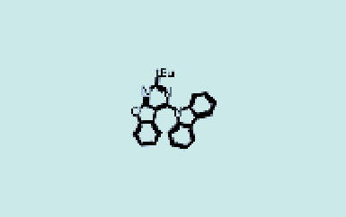 CC(C)(C)c1nc(-n2c3ccccc3c3ccccc32)c2c(n1)oc1ccccc12